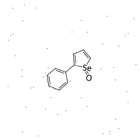 O=[Se]1C=CC=C1c1ccccc1